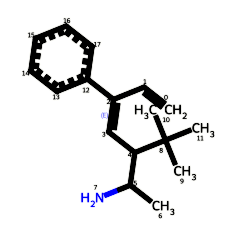 C=C/C(=C\C(C(C)N)C(C)(C)C)c1ccccc1